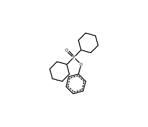 O=P(Oc1ccccc1)(C1CCCCC1)C1CCCCC1